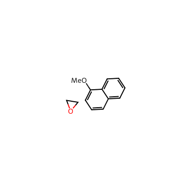 C1CO1.COc1cccc2ccccc12